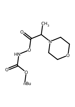 CCCCOC(=O)NOC(=O)C(C)N1CCOCC1